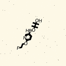 CC(C)(O)C(C)(C)OBc1ccc(OCCF)nc1